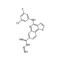 N=NNC(=N)c1ccc2c(c1)nc(Nc1cc(F)cc(Cl)c1)c1ccsc12